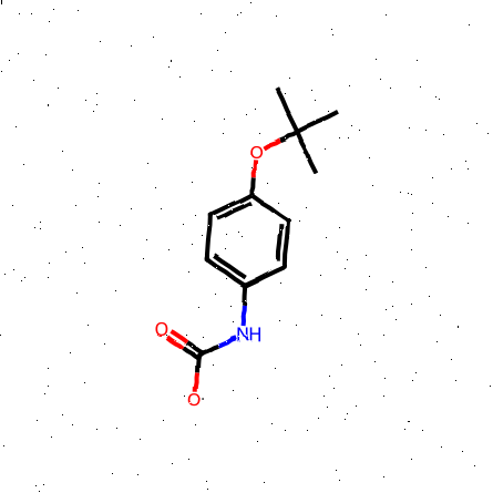 CC(C)(C)Oc1ccc(NC([O])=O)cc1